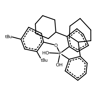 CC(C)(C)c1ccc(OP(O)(O)(c2ccccc2C2CCCCC2)c2ccccc2C2CCCCC2)c(C(C)(C)C)c1